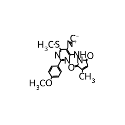 [C-]#[N+]c1c(NN2C(=O)C=C(C)C2=O)nc(-c2ccc(OC)cc2)nc1SC